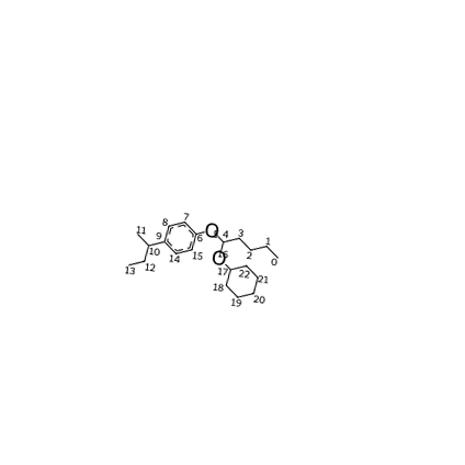 CCCCC(Oc1ccc(C(C)CC)cc1)OC1CCCCC1